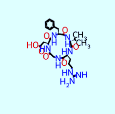 CC(C)[C@H]1NC(=O)[C@H](Cc2ccccc2)NC(=O)[C@H](CC(=O)O)NC(=O)CNC(=O)[C@H](CCCNC(=N)N)NC1=O